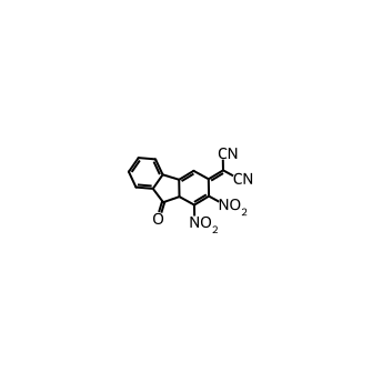 N#CC(C#N)=C1C=C2c3ccccc3C(=O)C2C([N+](=O)[O-])=C1[N+](=O)[O-]